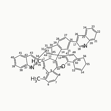 CC1=Cc2c(C)cccc2C2=C(C1)C1(c3cc(-c4cnc5ccccc5c4)ccc3-c3ccc(-c4cnc5ccccc5c4)cc31)c1ccc3c(c1O2)C=CCC3